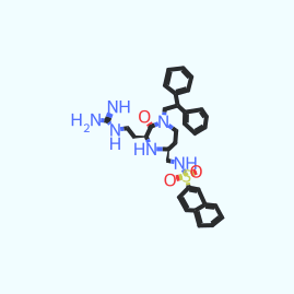 N=C(N)NCC[C@@H]1N[C@H](CNS(=O)(=O)c2ccc3ccccc3c2)CCN(CC(c2ccccc2)c2ccccc2)C1=O